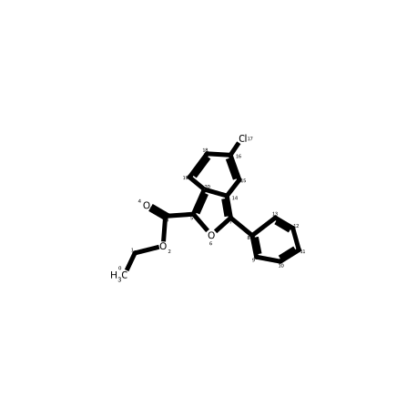 CCOC(=O)c1oc(-c2ccccc2)c2cc(Cl)ccc12